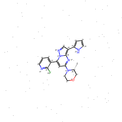 C[C@@H]1COCCN1c1cc(-c2cccnc2F)n2ncc(-c3ccc[nH]3)c2n1